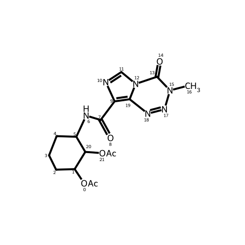 CC(=O)OC1CCCC(NC(=O)c2ncn3c(=O)n(C)nnc23)C1OC(C)=O